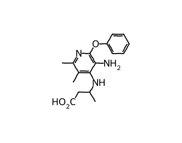 Cc1nc(Oc2ccccc2)c(N)c(NC(C)CC(=O)O)c1C